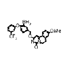 Bc1cc(COc2cc3n(c(=O)n2)CCc2cc(OC)ccc2-3)ccc1Oc1cccc(C(F)(F)F)c1